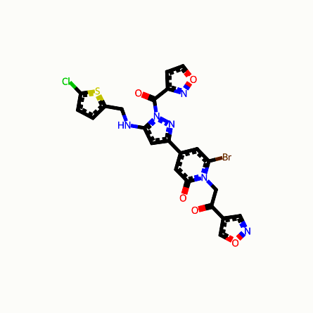 O=C(Cn1c(Br)cc(-c2cc(NCc3ccc(Cl)s3)n(C(=O)c3ccon3)n2)cc1=O)c1cnoc1